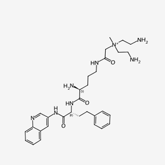 C[N+](CCN)(CCN)CC(=O)NCCC[C@H](N)C(=O)N[C@H](CCc1ccccc1)C(=O)Nc1cnc2ccccc2c1